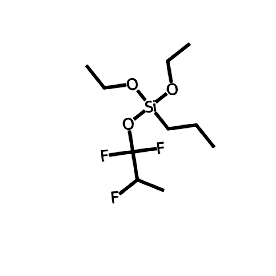 CCC[Si](OCC)(OCC)OC(F)(F)C(C)F